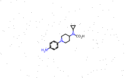 Nc1ccc(N2CCC(N(C(=O)O)C3CC3)CC2)cc1